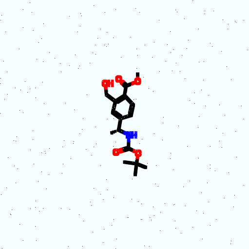 COC(=O)c1ccc([C@@H](C)NC(=O)OC(C)(C)C)cc1CO